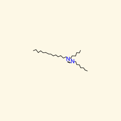 CCCCCCCCCCCCCCN1C=CN(CCCCCCC)C1CCCCC